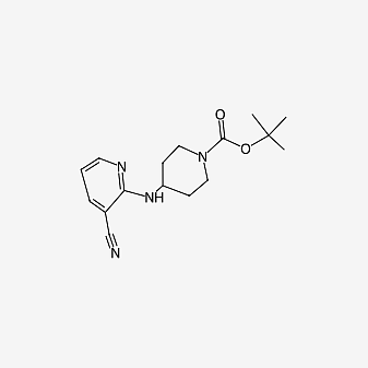 CC(C)(C)OC(=O)N1CCC(Nc2ncccc2C#N)CC1